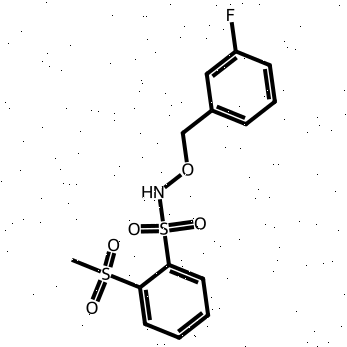 CS(=O)(=O)c1ccccc1S(=O)(=O)NOCc1cccc(F)c1